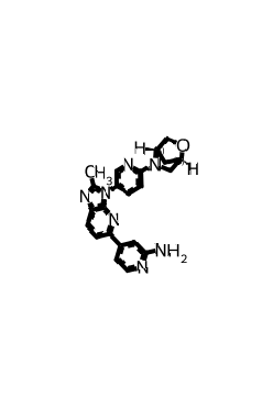 Cc1nc2ccc(-c3ccnc(N)c3)nc2n1-c1ccc(N2C[C@H]3C[C@H]2CO3)nc1